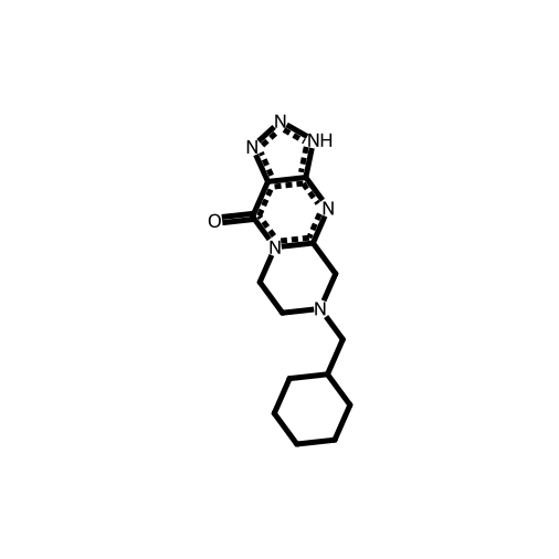 O=c1c2nn[nH]c2nc2n1CCN(CC1CCCCC1)C2